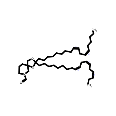 CC/C=C\C/C=C\C/C=C\CCCCCCCCC1(CCCCCCCC/C=C\C/C=C\CCCCC)OCC2(CCCN(C=O)C2)O1